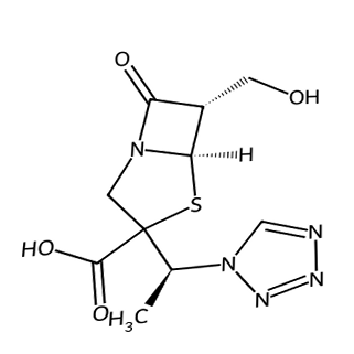 C[C@H](n1cnnn1)C1(C(=O)O)CN2C(=O)[C@H](CO)[C@H]2S1